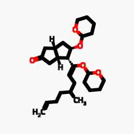 C=CCCC(C)CC=C(OC1CCCCO1)[C@@H]1[C@@H]2CC(=O)C[C@@H]2C[C@H]1OC1CCCCO1